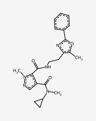 Cc1oc(-c2ccccc2)nc1CCNC(=O)c1c(C(=O)N(C)C2CC2)cnn1C